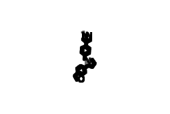 Cn1cc(-c2ccc(CN3CCCC3c3ccc4c(c3)OCC4)cc2)cn1